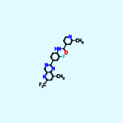 Cc1cc(C(=O)Nc2ccc(-c3ncc4nc(C(F)(F)F)cc(C)c4n3)cc2F)ccn1